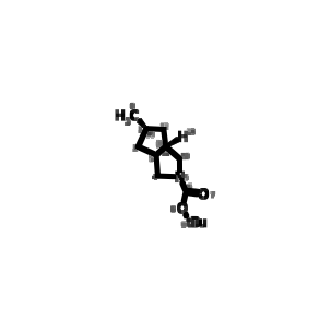 C[C@@H]1CC2CN(C(=O)OC(C)(C)C)C[C@H]2C1